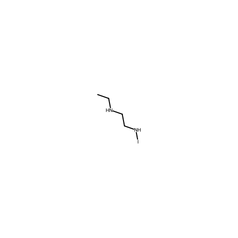 CCNCCNI